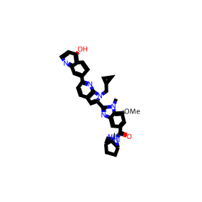 COc1cc(C(=O)N2CC3CCC2[C@@H]3N)cc2nc(-c3cc4ccc(-c5ccc6c(O)ccnc6c5)nc4n3CC3CC3)n(C)c12